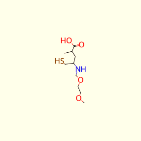 COCCOCNC(CS)CC(C)C(=O)O